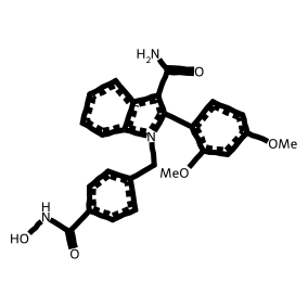 COc1ccc(-c2c(C(N)=O)c3ccccc3n2Cc2ccc(C(=O)NO)cc2)c(OC)c1